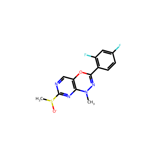 CN1N=C(c2ccc(F)cc2F)Oc2cnc([S+](C)[O-])nc21